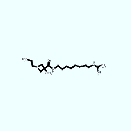 CCCN1CC(N)(C(=O)NCCCCCCCCOC(C)S)C1